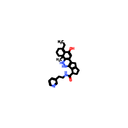 CCC1=C2C(O)=CC3=C(NNC4=C3CC3=C4C(C(=O)NCCc4cccnc4)CC3)C2(C)CCC1